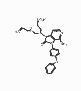 C=CCNC[C@@H](CCC(=O)O)n1c(=O)n(-c2ccc(Oc3ccccc3)cc2)c2c(N)nccc21